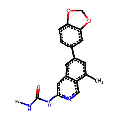 CCNC(=O)Nc1cc2cc(-c3ccc4c(c3)OCO4)cc(C)c2cn1